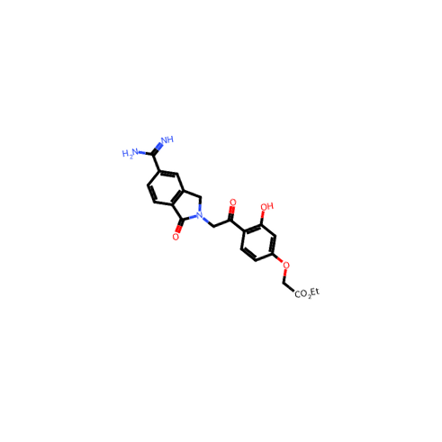 CCOC(=O)COc1ccc(C(=O)CN2Cc3cc(C(=N)N)ccc3C2=O)c(O)c1